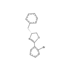 Brc1ccccc1C1=N[C@H](Cc2ccccc2)CO1